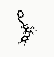 Cn1c(=O)n(Cc2ccc(F)c(F)c2)c(=O)c2nc(C#CCc3ccccc3)oc21